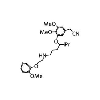 COc1ccccc1OCCNCCCC(Oc1cc(CC#N)cc(OC)c1OC)C(C)C